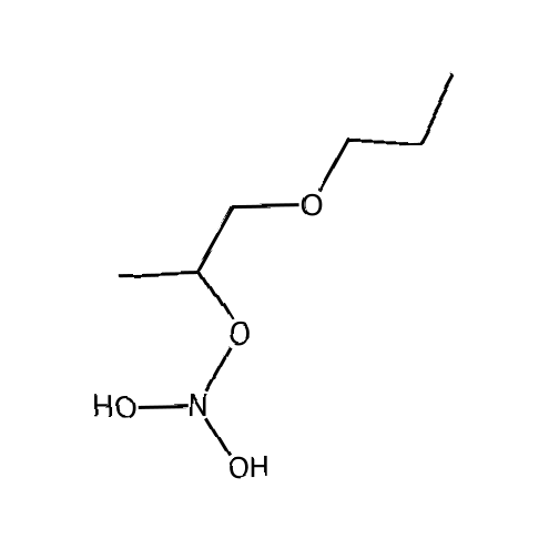 CCCOCC(C)ON(O)O